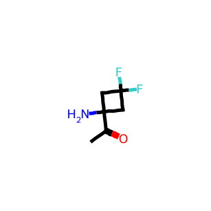 CC(=O)C1(N)CC(F)(F)C1